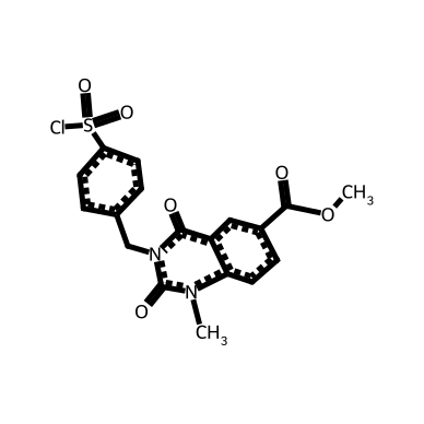 COC(=O)c1ccc2c(c1)c(=O)n(Cc1ccc(S(=O)(=O)Cl)cc1)c(=O)n2C